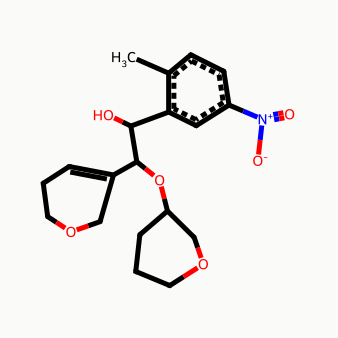 Cc1ccc([N+](=O)[O-])cc1C(O)C(OC1CCCOC1)C1=CCCOC1